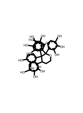 Oc1ccc(C2CCOC(c3ccc(O)c(O)c3O)(c3ccc(O)c(O)c3O)C2(c2ccc(O)c(O)c2O)c2ccc(O)c(O)c2O)c(O)c1O